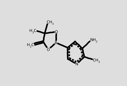 C=C1OB(c2cnc(C)c(N)c2)OC1(C)C